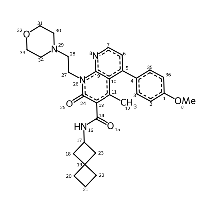 COc1ccc(-c2ccnc3c2c(C)c(C(=O)NC2CC4(CCC4)C2)c(=O)n3CCN2CCOCC2)cc1